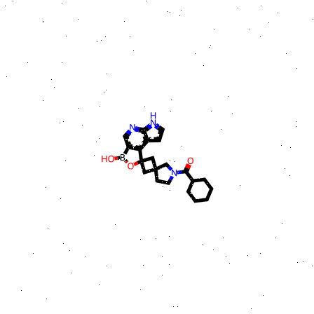 O=C(C1CCCCC1)N1CCC2(C1)CC1(C2)OB(O)c2cnc3[nH]ccc3c21